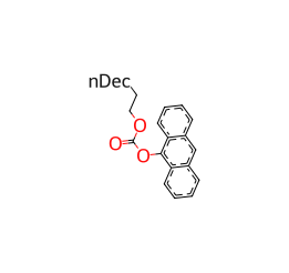 CCCCCCCCCCCCOC(=O)Oc1c2ccccc2cc2ccccc12